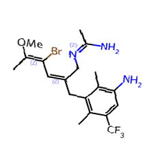 CO/C(C)=C(Br)/C=C(\C/N=C(/C)N)Cc1c(C)c(N)cc(C(F)(F)F)c1C